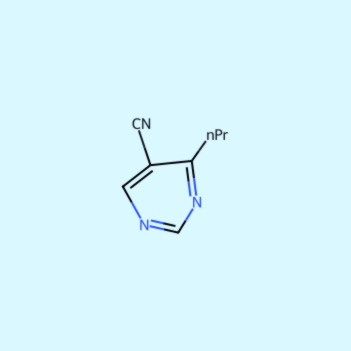 CCCc1ncncc1C#N